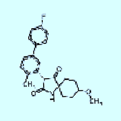 COC1CCC2(CC1)NC(=O)[C@H](c1cc(-c3ccc(F)cc3)ccc1C)C2=O